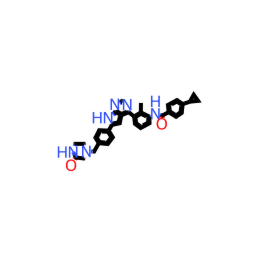 Cc1c(NC(=O)c2ccc(C3CC3)cc2)cccc1-c1ncnc2[nH]c(-c3ccc(CN4CCNC(=O)C4)cc3)cc12